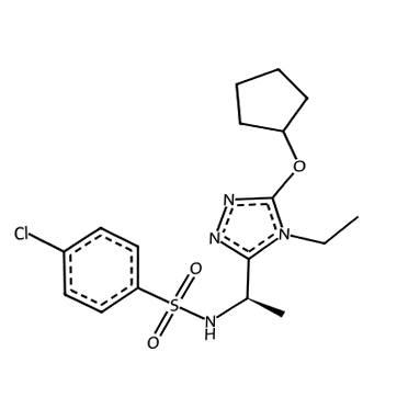 CCn1c(OC2CCCC2)nnc1[C@@H](C)NS(=O)(=O)c1ccc(Cl)cc1